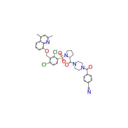 Cc1cc(C)c2cccc(OCc3c(Cl)ccc(S(=O)(=O)N4CCCC4C(=O)N4CCN(C(=O)c5ccc(C#N)cc5)CC4)c3Cl)c2n1